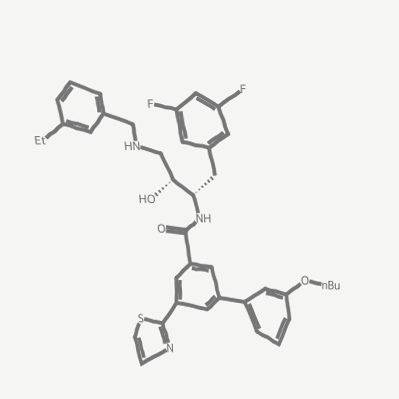 CCCCOc1cccc(-c2cc(C(=O)N[C@@H](Cc3cc(F)cc(F)c3)[C@H](O)CNCc3cccc(CC)c3)cc(-c3nccs3)c2)c1